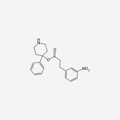 O=C(CCc1cccc([N+](=O)[O-])c1)OC1(c2ccccc2)CCNCC1